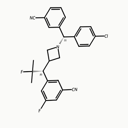 CC(C)(F)[C@@H](c1cc(F)cc(C#N)c1)C1CN([C@@H](c2ccc(Cl)cc2)c2cccc(C#N)c2)C1